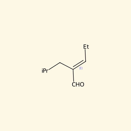 CC/C=C(/C=O)CC(C)C